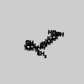 CCCN(CCN1CCN(c2ccc(-c3ccc(O)c(O)c3)cc2)CC1)C1CCc2c(O)cccc2C1